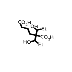 CCC(O)C(CCCC(=O)O)(C(=O)O)C(O)CC